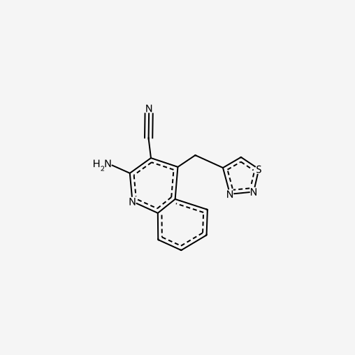 N#Cc1c(N)nc2ccccc2c1Cc1csnn1